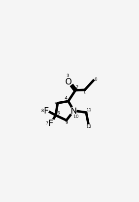 CCC(=O)C1CC(F)(F)CN1CC